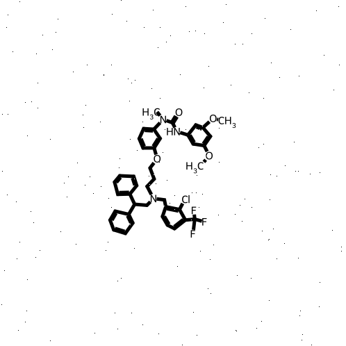 COc1cc(NC(=O)N(C)c2cccc(OCCCN(Cc3cccc(C(F)(F)F)c3Cl)CC(c3ccccc3)c3ccccc3)c2)cc(OC)c1